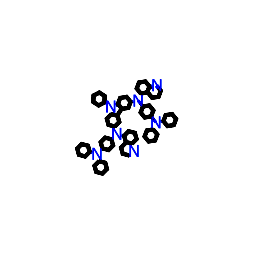 c1ccc(N(c2ccccc2)c2ccc(N(c3ccc4c(c3)c3cc(N(c5ccc(N(c6ccccc6)c6ccccc6)cc5)c5cccc6ncccc56)ccc3n4-c3ccccc3)c3cccc4ncccc34)cc2)cc1